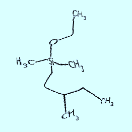 CCO[Si](C)(C)CC(C)CC